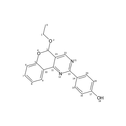 CCOC1Oc2ccccc2-c2nc(-c3ccc(O)cc3)ncc21